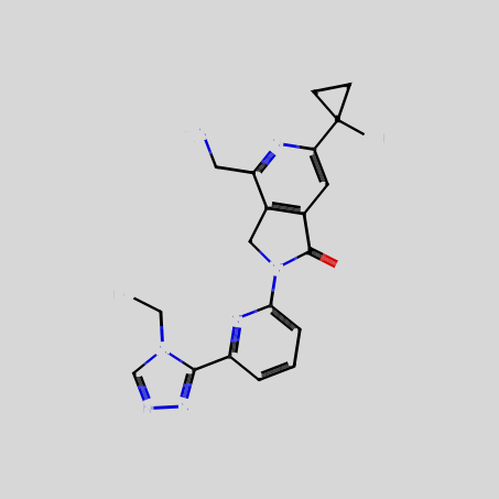 CCn1cnnc1-c1cccc(N2Cc3c(cc(C4(C)CC4)nc3CN)C2=O)n1